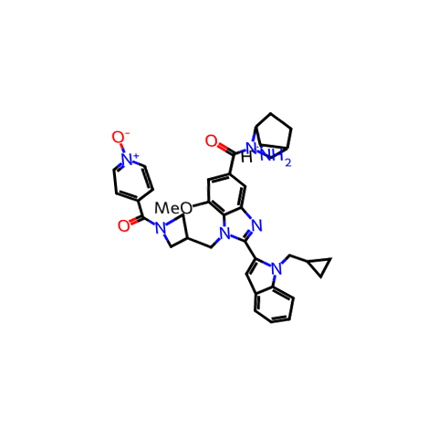 COc1cc(C(=O)N2CC3CCC2[C@@H]3N)cc2nc(-c3cc4ccccc4n3CC3CC3)n(CC3CN(C(=O)c4cc[n+]([O-])cc4)C3)c12